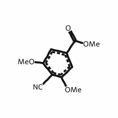 COC(=O)c1cc(OC)c([13C]#N)c(OC)c1